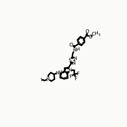 COC(=O)c1ccc(C(=O)NCc2nnc(-c3cc4c(NC5CCN(CI)CC5)cccc4n3CC(F)(F)F)s2)cc1